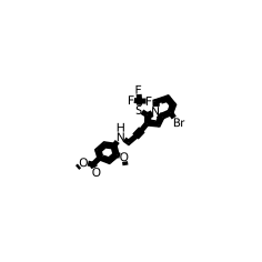 COC(=O)c1ccc(NCC#Cc2cc3c(Br)cccn3c2SC(F)(F)F)c(OC)c1